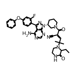 CCC1C(=O)NCCN1C(C)(C)C=C(C#N)C(=O)N1CCC[C@@H](n2nc(-c3ccc(Oc4ccccc4)cc3F)c3c(N)ncnc32)C1